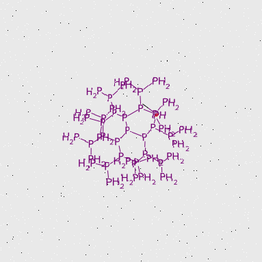 CPP(P(P)P)P(P(P(P)P)P(P)P)P(P(P(P(P)P)P(P)P)P(P(P)P)P(P)P)P(P(P(P)P)P(P)P)P(P(P)P)P(P)P